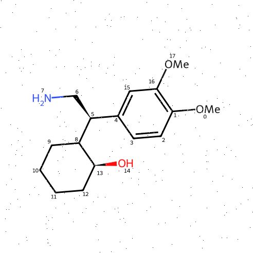 COc1ccc([C@H](CN)C2CCCC[C@@H]2O)cc1OC